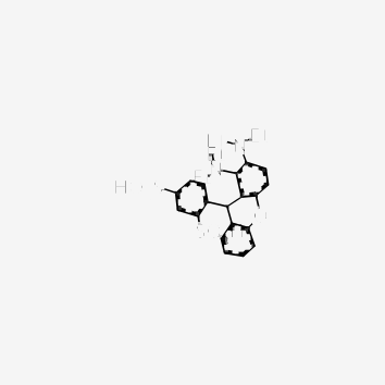 CCN(CC)c1ccc2c(c1N(CC)CC)C(c1ccc(S(=O)(=O)O)cc1S(=O)(=O)O)c1ccccc1O2